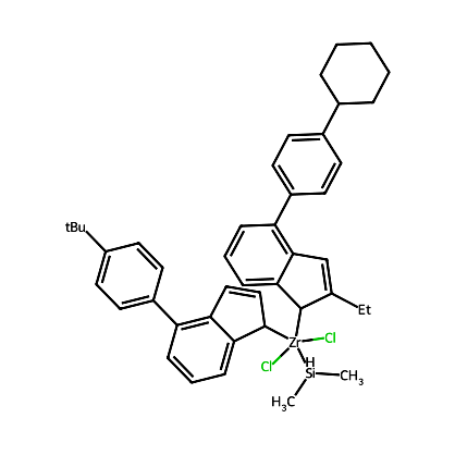 CCC1=Cc2c(-c3ccc(C4CCCCC4)cc3)cccc2[CH]1[Zr]([Cl])([Cl])([CH]1C=Cc2c(-c3ccc(C(C)(C)C)cc3)cccc21)[SiH](C)C